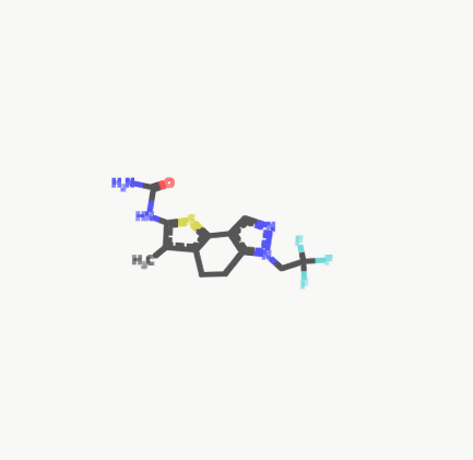 Cc1c(NC(N)=O)sc2c1CCc1c-2cnn1CC(F)(F)F